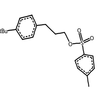 Cc1ccc(S(=O)(=O)OCCCc2ccc(C(C)(C)C)cc2)cc1